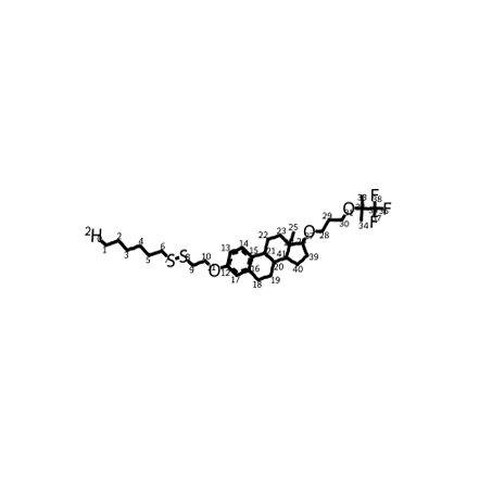 [2H]CCCCCCSSCCOc1ccc2c(c1)CCC1C2CCC2(C)C(OCCCOC(C)(C)C(F)(F)F)CCC12